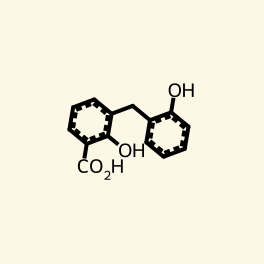 O=C(O)c1cccc(Cc2ccccc2O)c1O